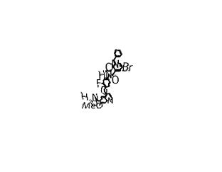 COc1cc2nccc(Oc3ccc(NC(=O)c4cc(Br)cn(Cc5ccccc5)c4=O)cc3F)c2cc1C(N)=O